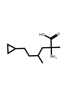 CC(CCC1CC1)CC(C)(N)C(=O)O